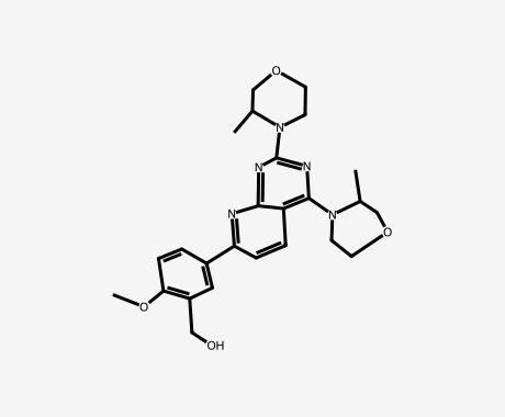 COc1ccc(-c2ccc3c(N4CCOCC4C)nc(N4CCOCC4C)nc3n2)cc1CO